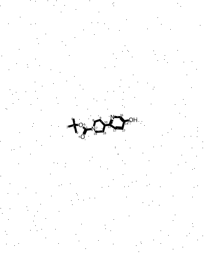 CC(C)(C)OC(=O)N1CCC(c2ccc(O)cn2)CC1